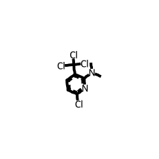 CN(C)c1nc(Cl)ccc1C(Cl)(Cl)Cl